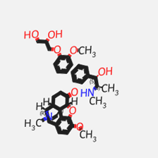 CN[C@@H](C)[C@@H](O)c1ccccc1.COc1ccc2c3c1O[C@H]1C(=O)CC[C@H]4[C@@H](C2)N(C)CC[C@]314.COc1ccccc1OCC(O)CO